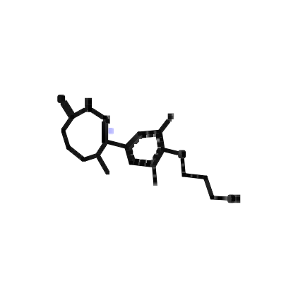 Cc1cc(/C2=N/NC(=O)CCCC2C)cc(F)c1OCCCO